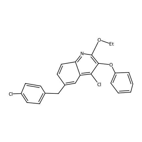 CCOc1nc2ccc(Cc3ccc(Cl)cc3)cc2c(Cl)c1Oc1ccccc1